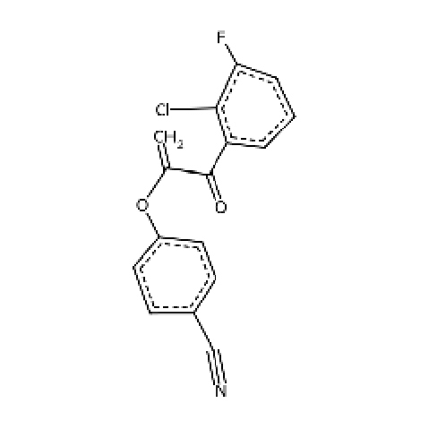 C=C(Oc1ccc(C#N)cc1)C(=O)c1cccc(F)c1Cl